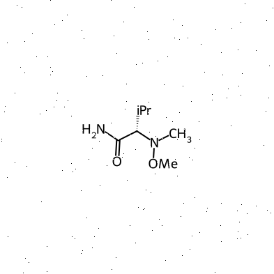 CON(C)[C@H](C(N)=O)C(C)C